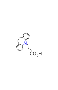 O=C(O)CCCN1c2ccccc2CCc2ccccc21